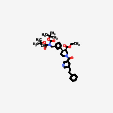 CCOC(=O)[C@H]1CN(C(=O)c2cncc(CCc3ccccc3)c2)CC[C@H]1c1cccc(CN(C(=O)OC(C)(C)C)C(=O)OC(C)(C)C)c1